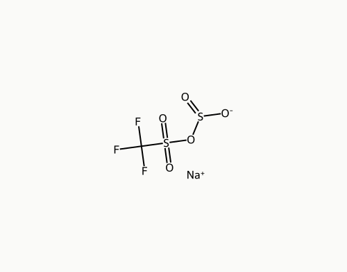 O=S([O-])OS(=O)(=O)C(F)(F)F.[Na+]